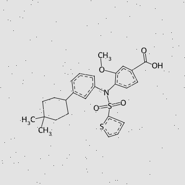 COc1cc(C(=O)O)ccc1N(c1cccc(C2CCC(C)(C)CC2)c1)S(=O)(=O)c1cccs1